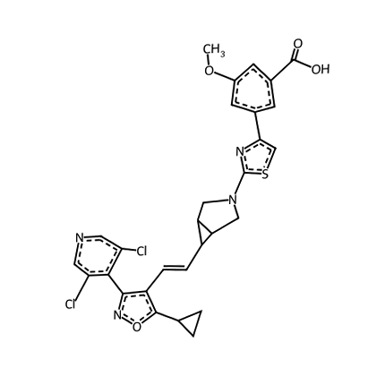 COc1cc(C(=O)O)cc(-c2csc(N3CC4C(C=Cc5c(-c6c(Cl)cncc6Cl)noc5C5CC5)C4C3)n2)c1